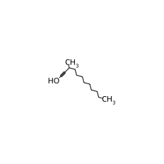 CCCCCCCCCC(C)C#CO